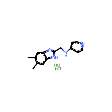 Cc1cc2nc(CNc3ccncc3)[nH]c2cc1C.Cl.Cl